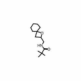 CC(C)(C)C(=O)NCC1CC2(CCCCC2)O1